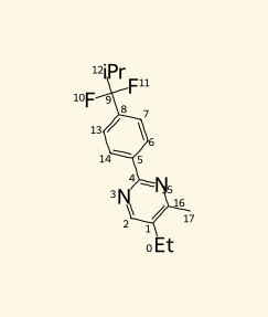 CCc1cnc(-c2ccc(C(F)(F)C(C)C)cc2)nc1C